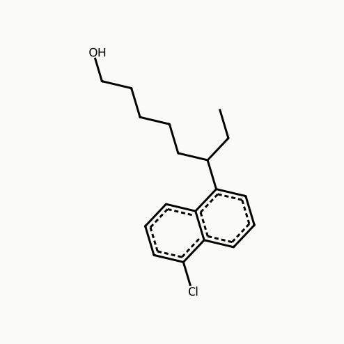 CCC(CCCCCO)c1cccc2c(Cl)cccc12